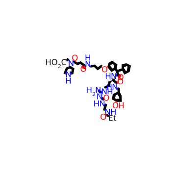 CCC(=O)NCCNC(=O)/N=C(/N)NCCC[C@@H](NC(=O)C(c1ccccc1)c1cccc(OCCCCNC(=O)CCC(=O)N(CC(=O)O)C2CCNCC2)c1)C(=O)NCc1ccc(O)cc1